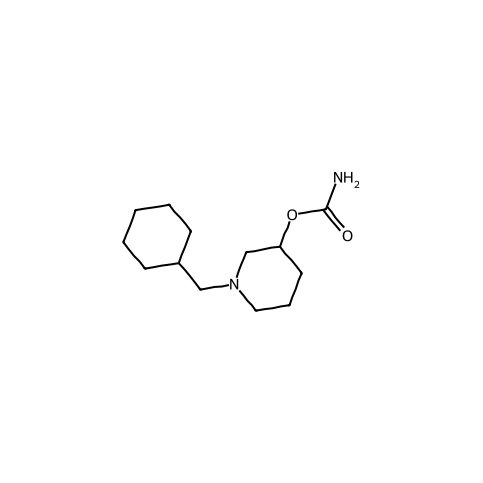 NC(=O)OC1CCCN(CC2CCCCC2)C1